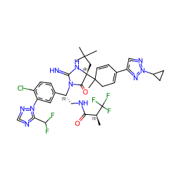 C[C@@H](C(=O)NC[C@H](c1ccc(Cl)c(-n2ncnc2C(F)F)c1)N1C(=N)N[C@](CC(C)(C)C)(C2(C)C=CC(c3cnn(C4CC4)n3)=CC2)C1=O)C(F)(F)F